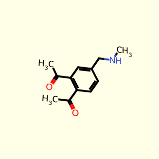 CNCc1ccc(C(C)=O)c(C(C)=O)c1